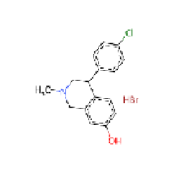 Br.CN1Cc2cc(O)ccc2C(c2ccc(Cl)cc2)C1